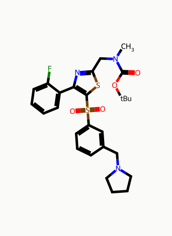 CN(Cc1nc(-c2ccccc2F)c(S(=O)(=O)c2cccc(CN3CCCC3)c2)s1)C(=O)OC(C)(C)C